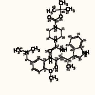 COc1ccc(CN(C)C)cc1NC(=O)[C@H](NC(=O)N1CCN(C(=O)OC(C)(C)C)CC1)[C@@H](C)c1c[nH]c2ccccc12